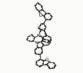 c1ccc(-n2c3ccccc3c3cc(-c4cccc5c4oc4ccccc45)ccc32)c(-n2c3ccccc3c3cc(-c4cccc5c4oc4ccccc45)ccc32)c1